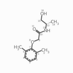 Cc1cccc(C)c1OCC(=O)N[C@@H](C)CO